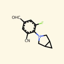 N#Cc1cc(C=O)cc(F)c1N1CC2CC2C1